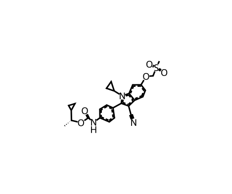 C[C@@H](OC(=O)Nc1ccc(-c2c(C#N)c3ccc(OCS(C)(=O)=O)cc3n2C2CC2)cc1)C1CC1